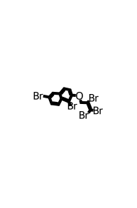 BrC(Br)=C(Br)COc1ccc2cc(Br)ccc2c1Br